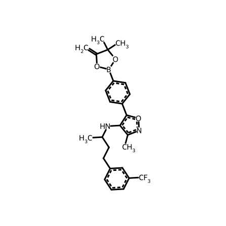 C=C1OB(c2ccc(-c3onc(C)c3NC(C)CCc3cccc(C(F)(F)F)c3)cc2)OC1(C)C